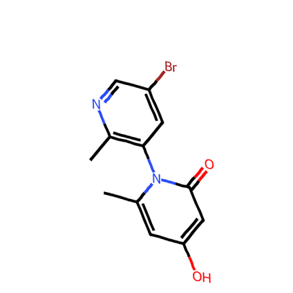 Cc1ncc(Br)cc1-n1c(C)cc(O)cc1=O